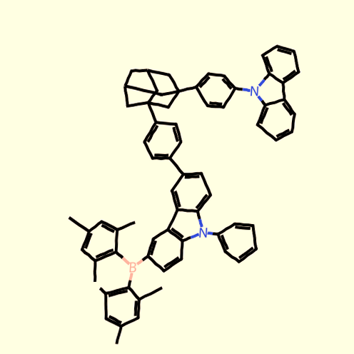 Cc1cc(C)c(B(c2ccc3c(c2)c2cc(-c4ccc(C56CC7CC(C5)CC(c5ccc(-n8c9ccccc9c9ccccc98)cc5)(C7)C6)cc4)ccc2n3-c2ccccc2)c2c(C)cc(C)cc2C)c(C)c1